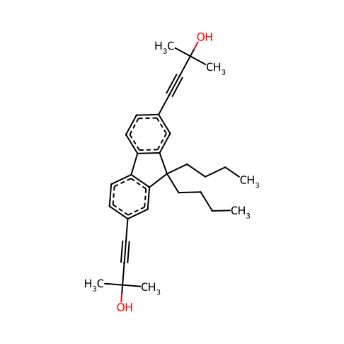 CCCCC1(CCCC)c2cc(C#CC(C)(C)O)ccc2-c2ccc(C#CC(C)(C)O)cc21